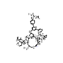 CC(C)Oc1ccc(-c2cc(O[C@@H]3C[C@H]4C(=O)N[C@]5(C(=O)NS(=O)(=O)C6(C)CC6)C[C@H]5/C=C\CC[C@@H](C)C[C@@H](C)[C@H](NC(=O)OC5(C(F)(F)F)CCCOC5)C(=O)N4C3)cc(-c3cncs3)n2)cc1